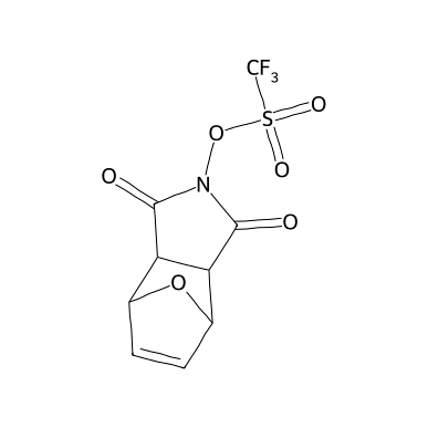 O=C1C2C3C=CC(O3)C2C(=O)N1OS(=O)(=O)C(F)(F)F